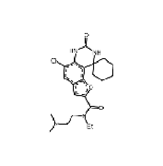 CCN(CCN(C)C)C(=O)c1cc2cc(Cl)c3c(c2o1)C1(CCCCC1)NC(=O)N3